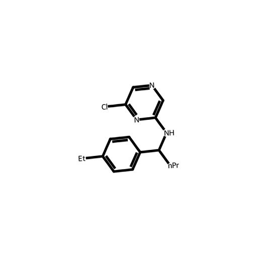 CCCC(Nc1cncc(Cl)n1)c1ccc(CC)cc1